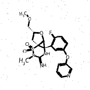 COC[C@H]1C[C@]23C(O1)[C@]2(c1cc(Oc2cccnc2)ccc1F)NC(=N)N(C)S3(=O)=O